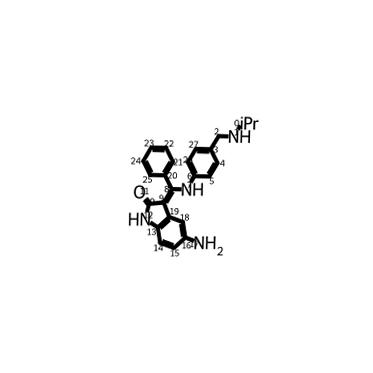 CC(C)NCc1ccc(NC(=C2C(=O)Nc3ccc(N)cc32)c2ccccc2)cc1